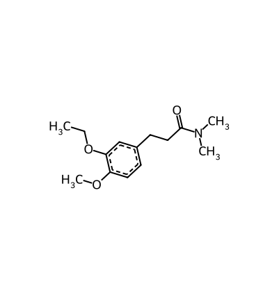 CCOc1cc(CCC(=O)N(C)C)ccc1OC